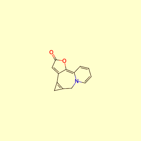 O=C1C=C2C3=C(C3)CN3C=CC=CC3=C2O1